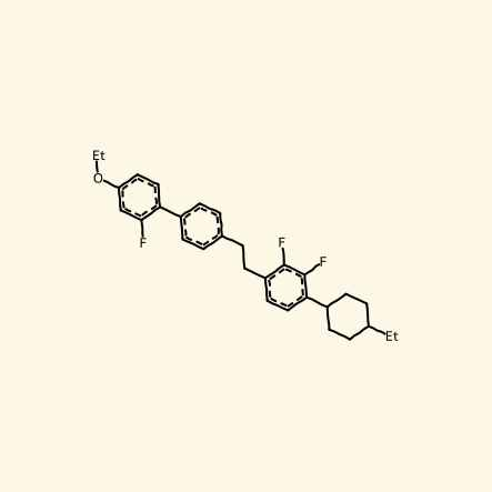 CCOc1ccc(-c2ccc(CCc3ccc(C4CCC(CC)CC4)c(F)c3F)cc2)c(F)c1